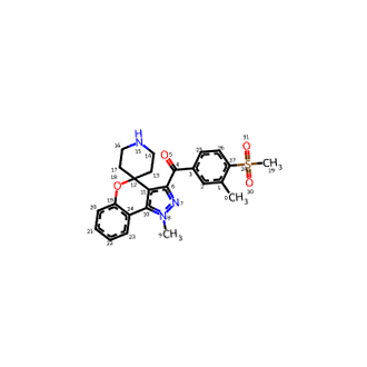 Cc1cc(C(=O)c2nn(C)c3c2C2(CCNCC2)Oc2ccccc2-3)ccc1S(C)(=O)=O